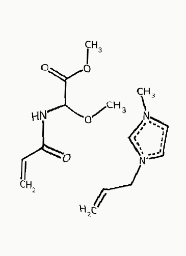 C=CC(=O)NC(OC)C(=O)OC.C=CC[n+]1ccn(C)c1